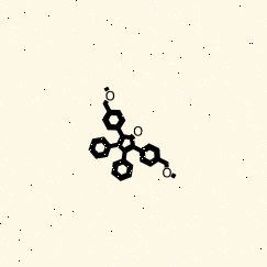 COCc1ccc(C2=C(c3ccccc3)C(c3ccccc3)=C(c3ccc(COC)cc3)C2=O)cc1